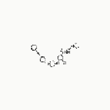 O=C(NCCCN1CCCC1)c1ccc(OC2CCN(Cc3ccc(C#Cc4ccccc4)cc3)CC2)c(Cl)c1